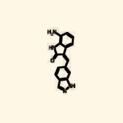 Nc1cccc2c1NC(=O)C2=Cc1ccc2cn[nH]c2c1